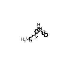 CN(C)C(CCCC(N)=O)c1ccc2[nH]nc(-c3cc4ccccc4o3)c2c1